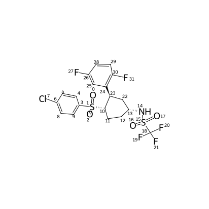 O=S(=O)(c1ccc(Cl)cc1)[C@H]1CC[C@@H](NS(=O)(=O)C(F)(F)F)C[C@@H]1c1cc(F)ccc1F